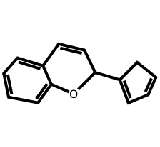 C1=CCC(C2C=Cc3ccccc3O2)=C1